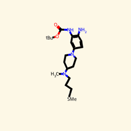 CSCCCN(C)C1CCN(c2ccc(N)c(NC(=O)OC(C)(C)C)c2)CC1